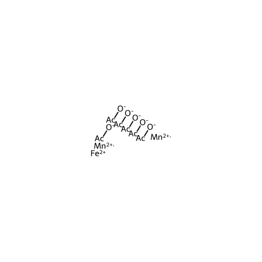 CC(=O)[O-].CC(=O)[O-].CC(=O)[O-].CC(=O)[O-].CC(=O)[O-].CC(=O)[O-].[Fe+2].[Mn+2].[Mn+2]